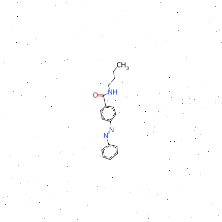 CCCCNC(=O)c1ccc(/N=N/c2ccccc2)cc1